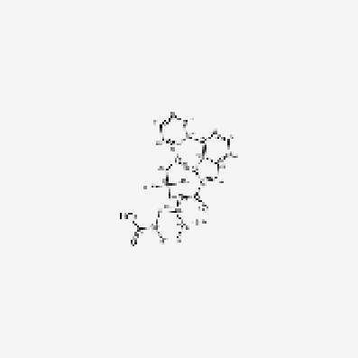 O=C(N[C@@H]1CN(C(=O)O)CC[C@H]1F)c1cc2cccc(-c3ccccc3OCC(F)(F)F)c2o1